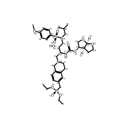 CCOP(=O)(Cc1ccc2c(c1)CCN(C[C@H](NC(=O)O[C@H]1CO[C@H]3OCC[C@H]31)[C@H](O)CN(CC(C)C)S(=O)(=O)c1ccc(OC)cc1)C2)OCC